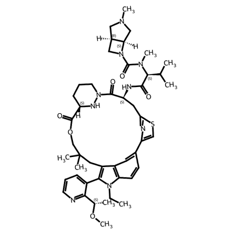 CCn1c(-c2cccnc2[C@H](C)OC)c2c3cc(ccc31)-c1csc(n1)C[C@H](NC(=O)[C@H](C(C)C)N(C)C(=O)N1C[C@H]3CN(C)C[C@H]31)C(=O)N1CCC[C@H](N1)C(=O)OCC(C)(C)C2